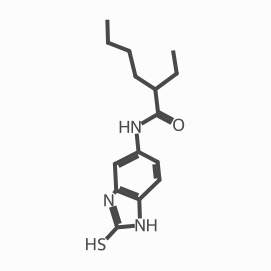 CCCCC(CC)C(=O)Nc1ccc2[nH]c(S)nc2c1